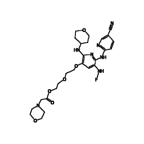 N#Cc1ccc(Nc2nc(NC3CCOCC3)c(OCCOCCOC(=O)CN3CCOCC3)cc2NF)nc1